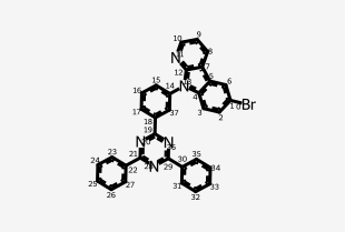 Brc1ccc2c(c1)c1cccnc1n2-c1cccc(-c2nc(-c3ccccc3)nc(-c3ccccc3)n2)c1